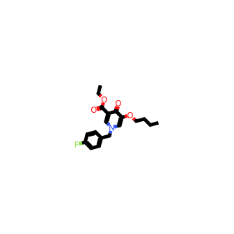 CCCCOc1cn(Cc2ccc(F)cc2)cc(C(=O)OCC)c1=O